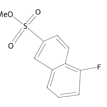 COS(=O)(=O)c1ccc2c(F)cccc2c1